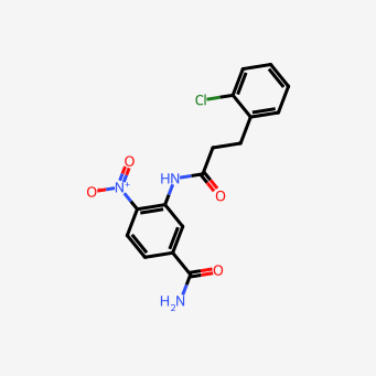 NC(=O)c1ccc([N+](=O)[O-])c(NC(=O)CCc2ccccc2Cl)c1